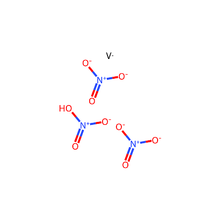 O=[N+]([O-])O.O=[N+]([O-])[O-].O=[N+]([O-])[O-].[V]